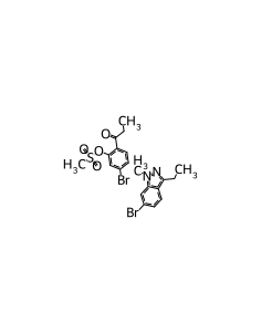 CCC(=O)c1ccc(Br)cc1OS(C)(=O)=O.CCc1nn(C)c2cc(Br)ccc12